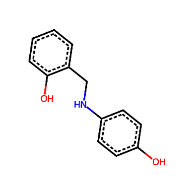 Oc1ccc(NCc2ccccc2O)cc1